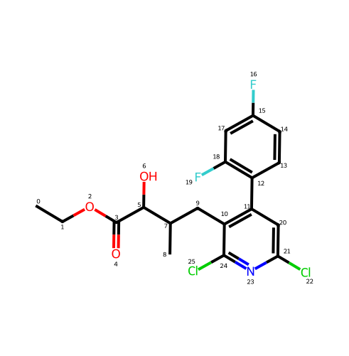 CCOC(=O)C(O)C(C)Cc1c(-c2ccc(F)cc2F)cc(Cl)nc1Cl